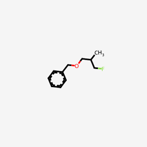 CC(CF)COCc1ccccc1